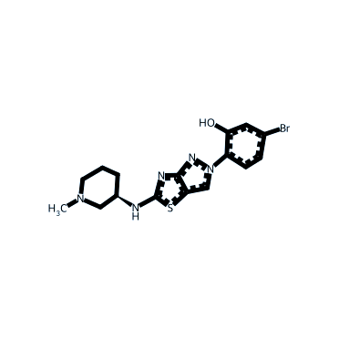 CN1CCC[C@@H](Nc2nc3nn(-c4ccc(Br)cc4O)cc3s2)C1